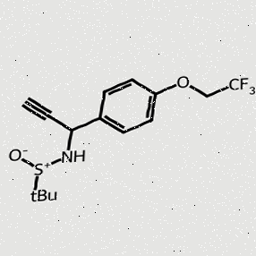 C#CC(N[S+]([O-])C(C)(C)C)c1ccc(OCC(F)(F)F)cc1